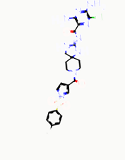 Cc1ccc(S(=O)(=O)n2ccc(C(=O)N3CCC4(CC3)CN/C(=N\C(=O)c3nc(Cl)c(N)nc3N)N4)c2)cc1